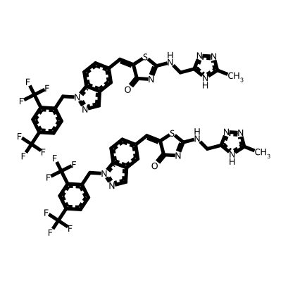 Cc1nnc(CNC2=NC(=O)C(=Cc3ccc4c(cnn4Cc4ccc(C(F)(F)F)cc4C(F)(F)F)c3)S2)[nH]1.Cc1nnc(CNC2=NC(=O)C(=Cc3ccc4c(cnn4Cc4ccc(C(F)(F)F)cc4C(F)(F)F)c3)S2)[nH]1